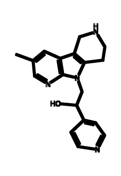 Cc1cnc2c(c1)c1c(n2CC(O)c2ccncc2)CCNC1